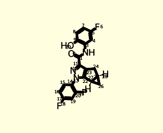 O=C(Nc1cc(F)ccc1O)c1nn(-c2ccc(F)cc2F)c2c1C[C@H]1C[C@@H]21